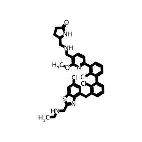 CCNCc1nc2c(Cc3cccc(-c4cccc(-c5ccc(CNCC6CCC(=O)N6)c(OC)n5)c4Cl)c3Cl)cc(Cl)cc2s1